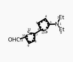 CCN(CC)c1ccc(-c2ccc(C=O)s2)s1